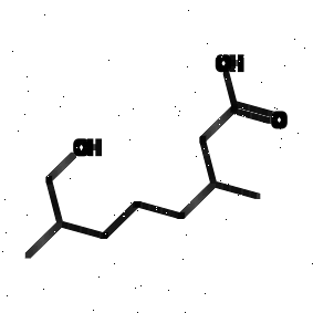 CC(CO)CCCC(C)CC(=O)O